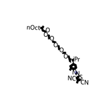 CCCCCCCCC(C)CC(=O)OCCOCCOCCOCCOCCN(c1ccc(/N=N/c2sc(C#N)c(C)c2C#N)c(C)c1)C(C)C